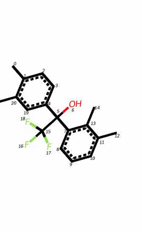 Cc1ccc(C(O)(c2cccc(C)c2C)C(F)(F)F)cc1C